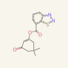 CC1(C)CC(=O)C=C(OC(=O)c2cccc3nnsc23)C1